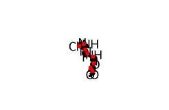 COC(=O)c1ccc(CC(=O)N2CCC[C@H](CNc3nc(-c4c[nH]c5ncc(Cl)cc45)ncc3F)C2)cc1